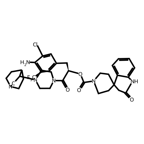 Nc1c(Cl)cc(C[C@@H](OC(=O)N2CCC3(CC2)CC(=O)Nc2ccccc23)C(=O)N2CCN(C3CN4CCC3CC4)CC2)cc1C(F)(F)F